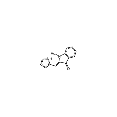 CC(=O)N1/C(=C\c2ccc[nH]2)C(=O)c2ccccc21